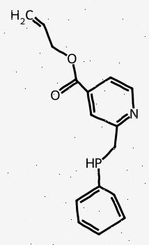 C=CCOC(=O)c1ccnc(CPc2ccccc2)c1